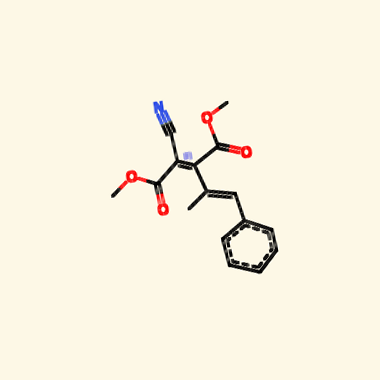 COC(=O)/C(C#N)=C(/C(=O)OC)C(C)=Cc1ccccc1